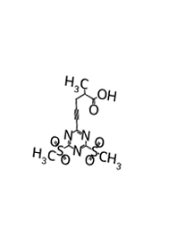 CC(CC#Cc1nc(S(C)(=O)=O)nc(S(C)(=O)=O)n1)C(=O)O